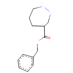 O=C(OCc1ccccc1)C1CCCNNC1